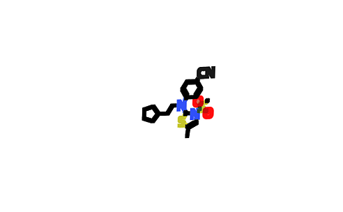 CC1=CN(S(C)(=O)=O)C(N(CCC2CCCC2)c2ccc(C#N)cc2)S1